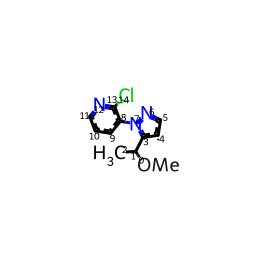 COC(C)c1[c]cnn1-c1cccnc1Cl